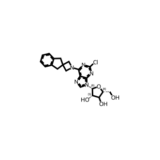 OC[C@H]1O[C@@H](n2cnc3c(N4CC5(Cc6ccccc6C5)C4)nc(Cl)nc32)[C@@H](O)C1O